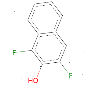 Oc1c(F)cc2ccccc2c1F